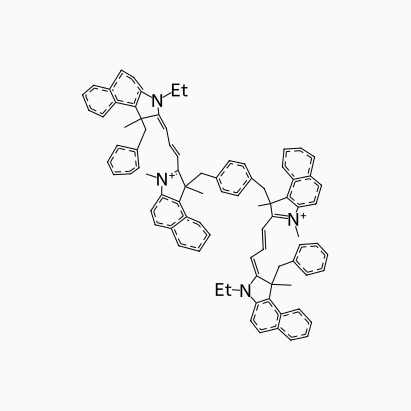 CCN1C(=CC=CC2=[N+](C)c3ccc4ccccc4c3C2(C)Cc2ccc(CC3(C)C(C=CC=C4N(CC)c5ccc6ccccc6c5C4(C)Cc4ccccc4)=[N+](C)c4ccc5ccccc5c43)cc2)C(C)(Cc2ccccc2)c2c1ccc1ccccc21